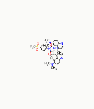 CC(c1ccnc2ccc(N(C)C)cc12)C1(C(C)c2ccnc3ccc(N(C)C)cc23)NC(=O)N(c2ccc(S(=O)(=O)C(F)(F)F)cc2)C1=O